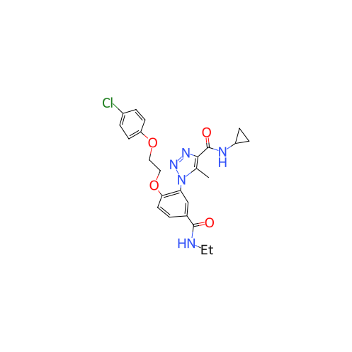 CCNC(=O)c1ccc(OCCOc2ccc(Cl)cc2)c(-n2nnc(C(=O)NC3CC3)c2C)c1